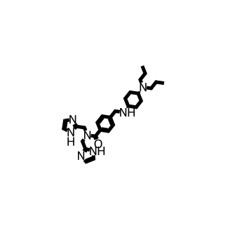 CCCN(CCC)[C@H]1CC[C@H](NCc2ccc(C(=O)N(Cc3ncc[nH]3)Cc3ncc[nH]3)cc2)CC1